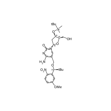 COc1ccc([N+](=O)[O-])c([C@@H](OCc2cn([C@H]3C[C@@H](O[Si](C)(C)C(C)(C)C)[C@@H](CO)O3)c(=O)nc2N)C(C)(C)C)c1